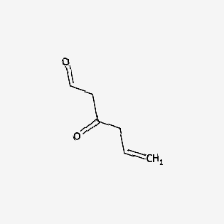 C=CCC(=O)CC=O